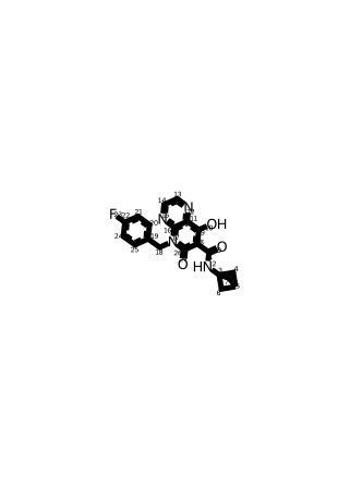 O=C(NC12CC(C1)C2)c1c(O)c2nccnc2n(Cc2ccc(F)cc2)c1=O